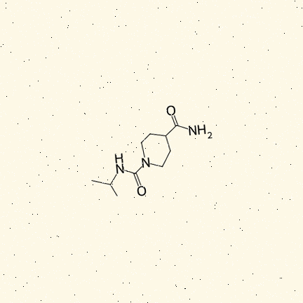 CC(C)NC(=O)N1CCC(C(N)=O)CC1